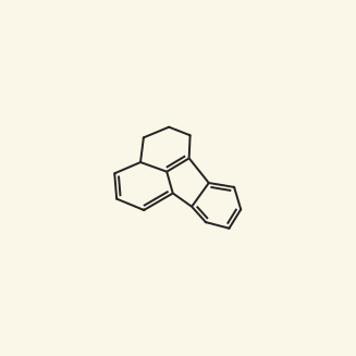 C1=CC2CCCC3=C2C(=C1)c1ccccc13